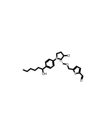 CCCCCC(O)c1ccc(N2CCC(Cl)[C@@H]2COCc2ccc(C=O)s2)cc1